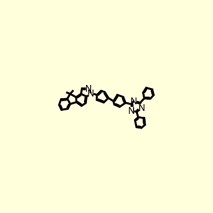 CC1(C)c2ccccc2-c2ccc3c(cnn3-c3ccc(-c4ccc(-c5nc(-c6ccccc6)nc(-c6ccccc6)n5)cc4)cc3)c21